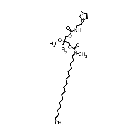 CCCCCCCCCCCCCCCCCCN(C)C(=O)OCC(C)(COC(=O)NCCN1C=CSC1)OC